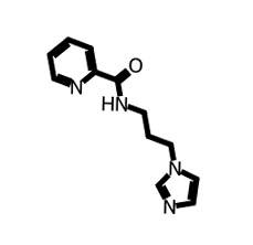 O=C(NCCCn1ccnc1)c1ccccn1